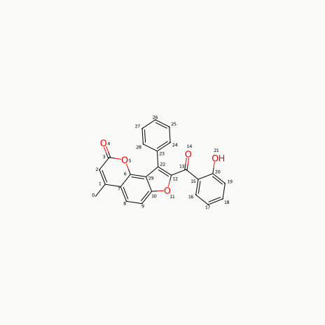 Cc1cc(=O)oc2c1ccc1oc(C(=O)c3ccccc3O)c(-c3ccccc3)c12